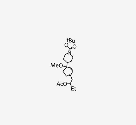 CCC(CC1=CCC(OC)(C2CCN(C(=O)OC(C)(C)C)CC2)C=C1)OC(C)=O